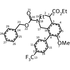 CCOC(=O)C(C)c1ccc(OC)c(-c2ccc(C(F)(F)F)cc2)c1CN(CC)C(=O)OCc1ccccc1